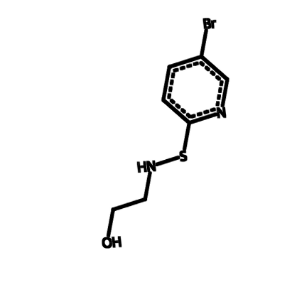 OCCNSc1ccc(Br)cn1